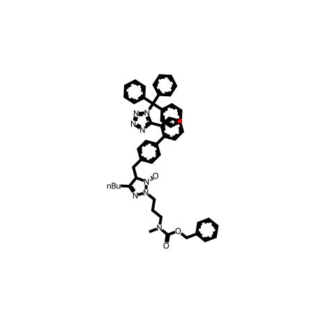 CCCCC1=NN(CCCN(C)C(=O)OCc2ccccc2)[N+](=O)C1Cc1ccc(-c2ccccc2-c2nnnn2C(c2ccccc2)(c2ccccc2)c2ccccc2)cc1